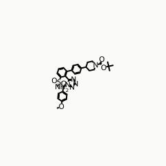 COc1ccc(Cn2nnnc2-c2c(-c3ccc(C4CCN(C(=O)OC(C)(C)C)CC4)cc3)cccc2S(N)(=O)=O)cc1